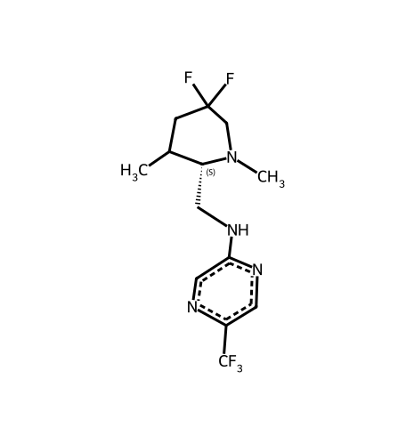 CC1CC(F)(F)CN(C)[C@@H]1CNc1cnc(C(F)(F)F)cn1